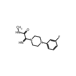 CNC(=O)C(=N)N1CCN(c2cccc(F)c2)CC1